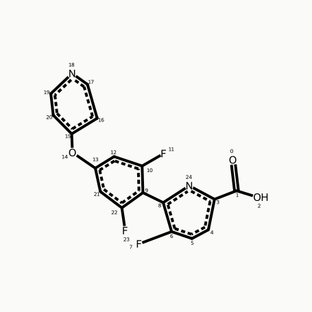 O=C(O)c1ccc(F)c(-c2c(F)cc(Oc3ccncc3)cc2F)n1